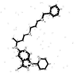 CC(CCOCCCOCc1ccccc1)Oc1cc2c(I)nn(C3CCCCO3)c2cn1